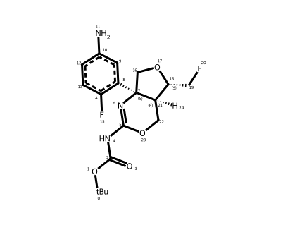 CC(C)(C)OC(=O)NC1=N[C@@]2(c3cc(N)ccc3F)CO[C@H](CF)[C@H]2CO1